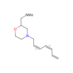 C=C/C=C\C=C/CN1CCOC(CNC)C1